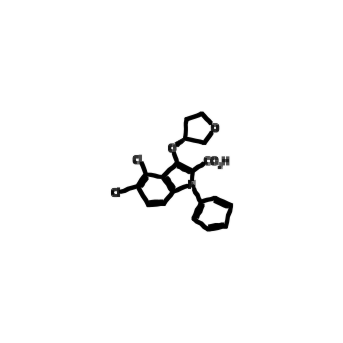 O=C(O)c1c(O[C@H]2CCOC2)c2c(Cl)c(Cl)ccc2n1-c1ccccc1